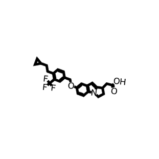 O=C(O)CC1CCn2c1cc1cc(OCc3ccc(CCC4CC4)c(C(F)(F)F)c3)ccc12